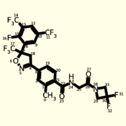 Cc1cc(C2=NOC(c3cc(C(F)(F)F)cc(C(F)(F)F)c3F)(C(F)(F)F)C2)ccc1C(=O)NCC(=O)N1CC(F)(F)C1